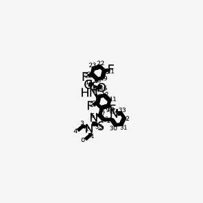 CCN(CC)c1nc(-c2c(F)ccc(NS(=O)(=O)c3cc(F)ccc3F)c2F)c(-c2ccccn2)s1